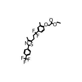 CCOC(=O)COc1ccc(C(F)(F)CCc2sc(-c3ccc(C(F)(F)F)cc3)nc2C)cc1C